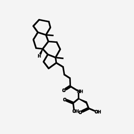 CC12CCCCC1CC[C@@H]1C2CCC2(C)C(CCCC(=O)N[C@@H](CC(=O)O)C(=O)O)CCC12